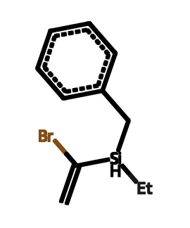 C=C(Br)[SiH](CC)Cc1ccccc1